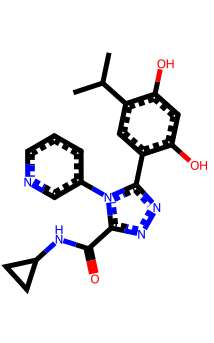 CC(C)c1cc(-c2nnc(C(=O)NC3CC3)n2-c2cccnc2)c(O)cc1O